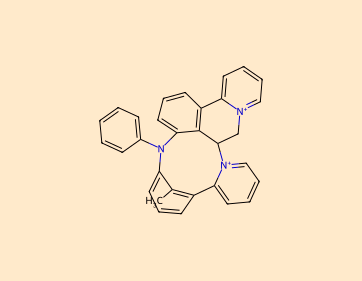 Cc1c2cccc1N(c1ccccc1)c1cccc3c1C(C[n+]1ccccc1-3)[n+]1ccccc1-2